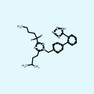 CCCCC(F)(F)c1nc(CCC(C)C)n(Cc2ccc(-c3ccccc3-c3nnn[nH]3)cc2)n1